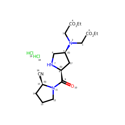 CCOC(=O)CN(CC(=O)OCC)[C@@H]1CN[C@H](C(=O)N2CCC[C@H]2C#N)C1.Cl.Cl